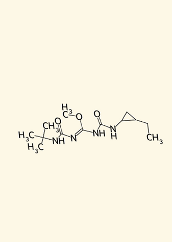 CCC1CC1NC(=O)NC(=NC(=O)NC(C)(C)C)OC